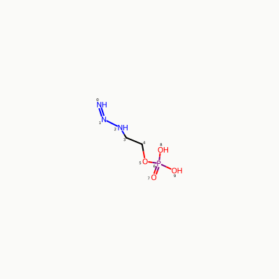 N=NNCCOP(=O)(O)O